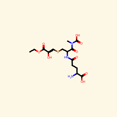 CCOC(=O)C(O)=CSCC(NC(=O)CCC(N)C(=O)O)C(=O)N(C)C(=O)O